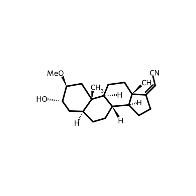 CO[C@H]1C[C@@]2(C)[C@@H](CC[C@@H]3[C@@H]2CC[C@]2(C)/C(=C\C#N)CC[C@@H]32)C[C@@H]1O